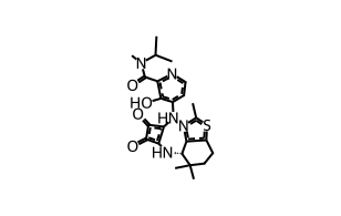 Cc1nc2c(s1)CCC(C)(C)[C@@H]2Nc1c(Nc2ccnc(C(=O)N(C)C(C)C)c2O)c(=O)c1=O